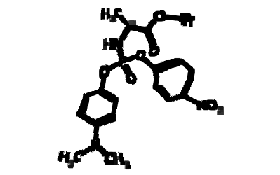 CC(C)OC(=O)[C@H](C)NP(=O)(Oc1ccc(N(C)C)cc1)Oc1ccc([N+](=O)[O-])cc1